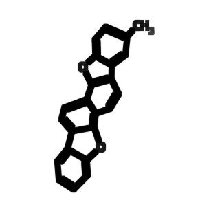 Cc1ccc2oc3c(ccc4c3ccc3c5ccccc5oc34)c2c1